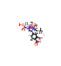 Cc1c(C(CNC(=O)O)N(C)S(C)(=O)=O)ccc2c1COC2=O